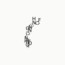 C[C@@H]1CN(Cc2ccc(N(C)C(=O)N3CCC(Nc4cccc(F)c4)CC3)cc2)C[C@H](C)N1C(=O)OC(C)(C)C